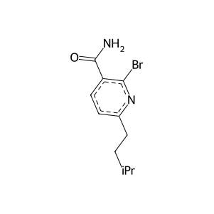 CC(C)CCc1ccc(C(N)=O)c(Br)n1